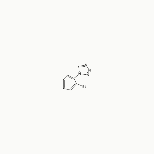 CCc1ccccc1-n1cnnn1